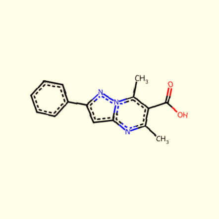 Cc1nc2cc(-c3ccccc3)nn2c(C)c1C(=O)O